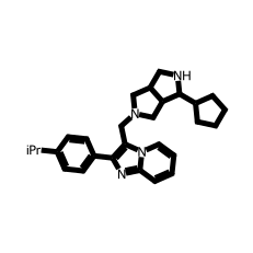 CC(C)c1ccc(-c2nc3ccccn3c2CN2CC3CNC(C4CCCC4)C3C2)cc1